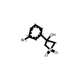 O=S1(=O)CC(O)(c2cccc(Br)c2)C1